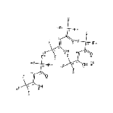 O=C(C=C(O)C(F)(F)F)C(F)(F)F.O=C(C=C(O)C(F)(F)F)C(F)(F)F.O=C(C=C(O)C(F)(F)F)C(F)(F)F.[Fe]